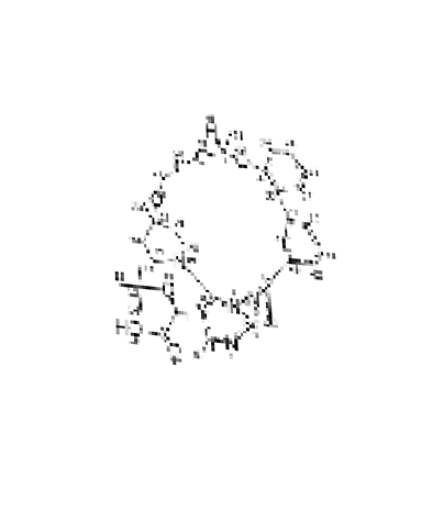 Cc1nc2cc3nn2c(c1[C@H](OC(C)(C)C)C(=O)O)N1CCC(C)(CC1)OCCC[C@H](C)Oc1ccccc1-c1cccc-3c1